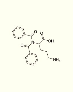 NCCCC(C(=O)O)N(C(=O)c1ccccc1)C(=O)c1ccccc1